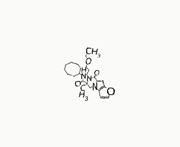 CCOCCCN1C(=O)c2cc3occc3n2CC1(C)C(=O)NC1CCCCCCC1